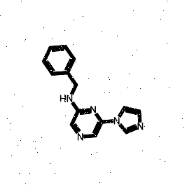 c1ccc(CNc2cncc(-n3ccnc3)n2)cc1